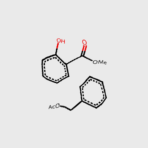 CC(=O)OCc1ccccc1.COC(=O)c1ccccc1O